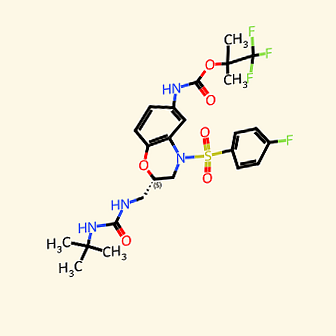 CC(C)(C)NC(=O)NC[C@H]1CN(S(=O)(=O)c2ccc(F)cc2)c2cc(NC(=O)OC(C)(C)C(F)(F)F)ccc2O1